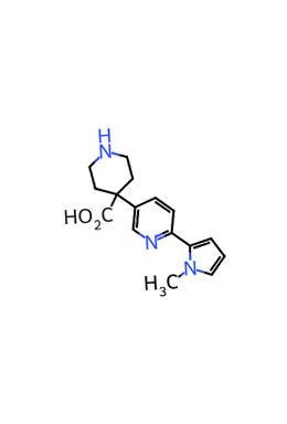 Cn1cccc1-c1ccc(C2(C(=O)O)CCNCC2)cn1